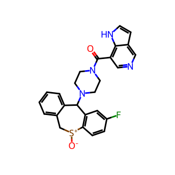 O=C(c1cncc2cc[nH]c12)N1CCN(C2c3ccccc3C[S+]([O-])c3ccc(F)cc32)CC1